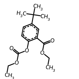 CCOC(=O)Oc1ccc(C(C)(C)C)cc1C(=O)OCC